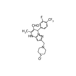 CC1=C(C=O)C(c2ccc(C(F)(F)F)c(F)c2)n2nc(CN3CC[S+]([O-])CC3)cc2N1